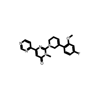 COc1cc(F)ccc1C1=CCCN(c2nc(-c3ccncn3)cc(=O)n2C)C1